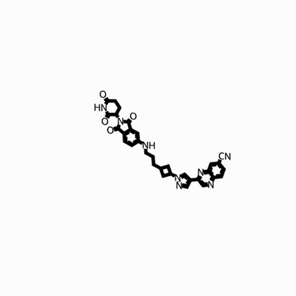 N#Cc1ccc2ncc(-c3cnn(C4CC(CCCNc5ccc6c(c5)C(=O)N(C5CCC(=O)NC5=O)C6=O)C4)c3)nc2c1